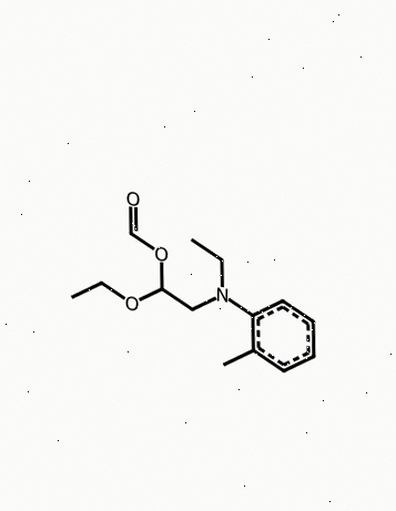 CCOC(CN(CC)c1ccccc1C)OC=O